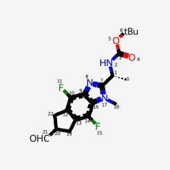 C[C@@H](NC(=O)OC(C)(C)C)c1nc2c(F)c3c(c(F)c2n1C)CC(C=O)C3